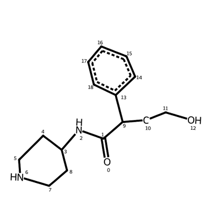 O=C(NC1CCNCC1)C(CCO)c1ccccc1